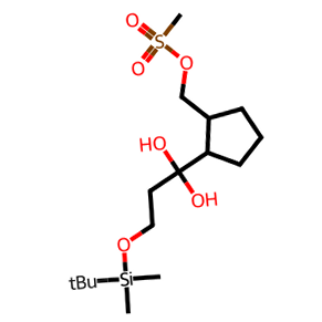 CC(C)(C)[Si](C)(C)OCCC(O)(O)C1CCCC1COS(C)(=O)=O